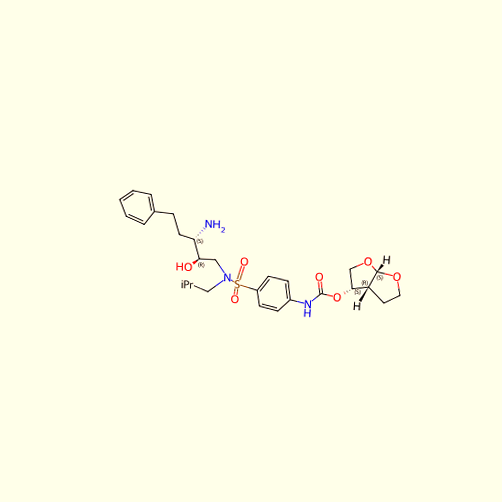 CC(C)CN(C[C@@H](O)[C@@H](N)CCc1ccccc1)S(=O)(=O)c1ccc(NC(=O)O[C@@H]2CO[C@@H]3OCC[C@@H]32)cc1